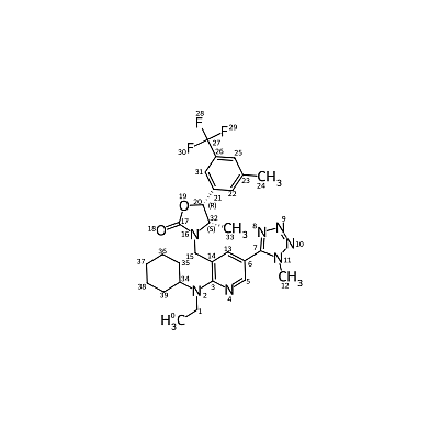 CCN(c1ncc(-c2nnnn2C)cc1CN1C(=O)O[C@H](c2cc(C)cc(C(F)(F)F)c2)[C@@H]1C)C1CCCCC1